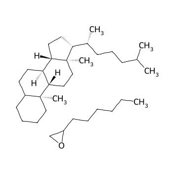 CC(C)CCC[C@@H](C)[C@H]1CC[C@H]2[C@@H]3CCC4CCCC[C@]4(C)[C@H]3CC[C@]12C.CCCCCCC1CO1